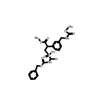 CC(C)C(NC(=O)OCc1ccccc1)P(=O)(O)CC(C(=O)OC(C)(C)C)c1cccc(CNC(=O)OC(C)(C)C)c1